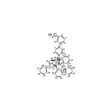 Cc1cccc(-c2ccc3c(c2)c2ccc4c(c2n3-c2ccc(-c3ccccc3)cc2)C2(c3ccccc3-c3ccccc32)c2ccccc2-4)c1